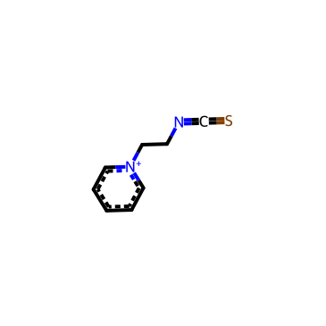 S=C=NCC[n+]1ccccc1